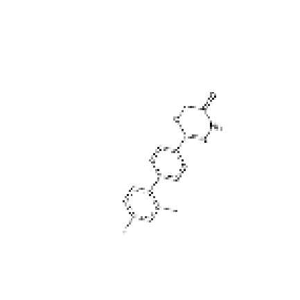 Cc1cc(F)ccc1-c1ccc(C2=NNC(=O)CO2)cc1